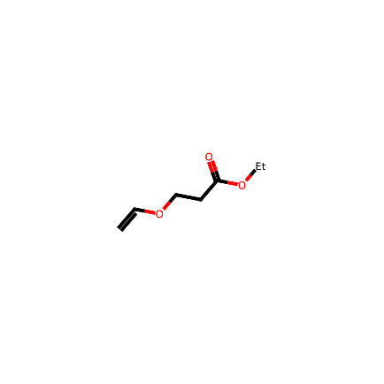 C=COCCC(=O)OCC